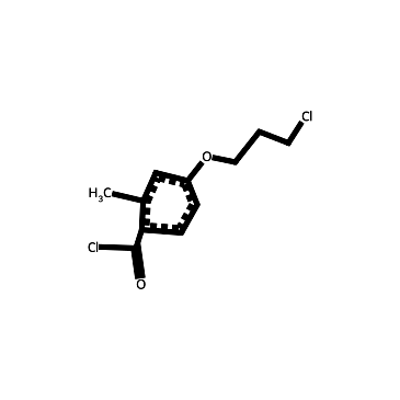 Cc1cc(OCCCCl)ccc1C(=O)Cl